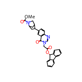 COC(=O)N1CC2CC1CC2c1ccc2ncn(CC(=O)OC3c4ccccc4-c4ccccc43)c(=O)c2c1